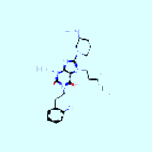 CC(C)=CCn1c(N2CCCC(N)C2)nc2c1c(=O)n(CCc1ccccc1N)c(=O)n2C